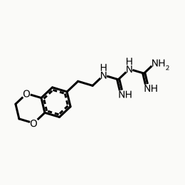 N=C(N)NC(=N)NCCc1ccc2c(c1)OCCO2